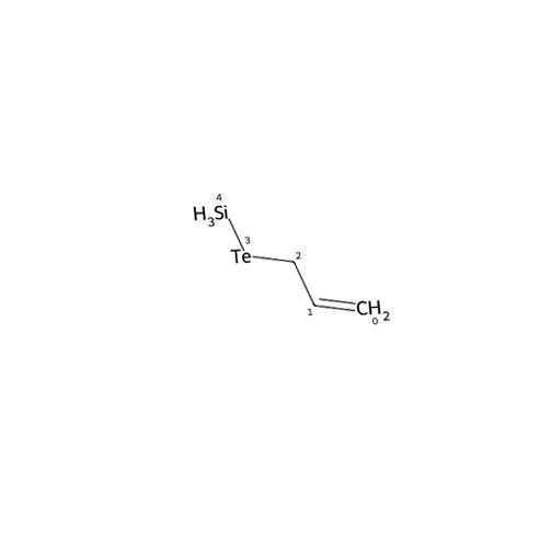 C=CC[Te][SiH3]